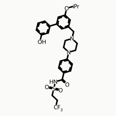 CC(C)Oc1cc(CN2CCN(c3ccc(C(=O)NS(=O)(=O)CCC(F)(F)F)cc3)CC2)cc(-c2cccc(O)c2)c1